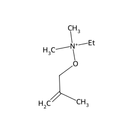 C=C(C)CO[N+](C)(C)CC